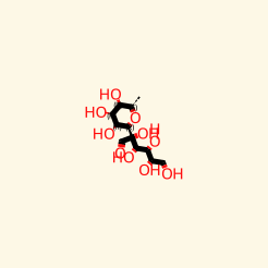 C[C@@H]1O[C@@H](C(O)(C=O)C(O)C(O)C(O)CO)[C@H](O)[C@H](O)[C@H]1O